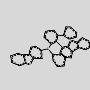 c1ccc(-c2cccc(N(c3ccccc3)c3ccc4c(c3)sc3ccccc34)c2-c2cccc3c2sc2ccccc23)cc1